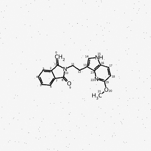 C=C1c2ccccc2C(=O)N1CCc1c[nH]c2ccc(OC)nc12